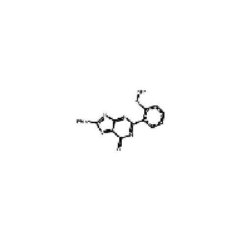 CCCOc1ccccc1C1=NC(=O)C2=NC(SC)=NC2=N1